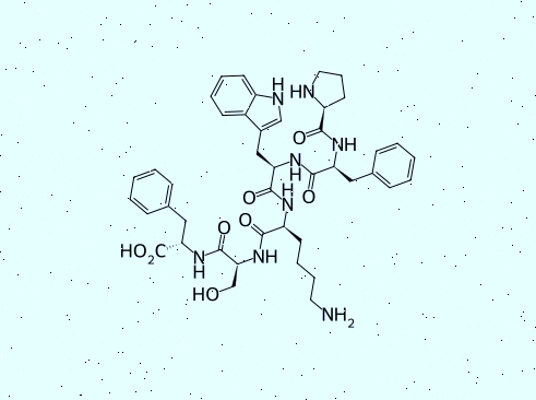 NCCCC[C@H](NC(=O)[C@@H](Cc1c[nH]c2ccccc12)NC(=O)[C@H](Cc1ccccc1)NC(=O)[C@@H]1CCCN1)C(=O)N[C@@H](CO)C(=O)N[C@@H](Cc1ccccc1)C(=O)O